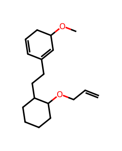 C=CCOC1CCCCC1CCC1=CC(OC)CC=C1